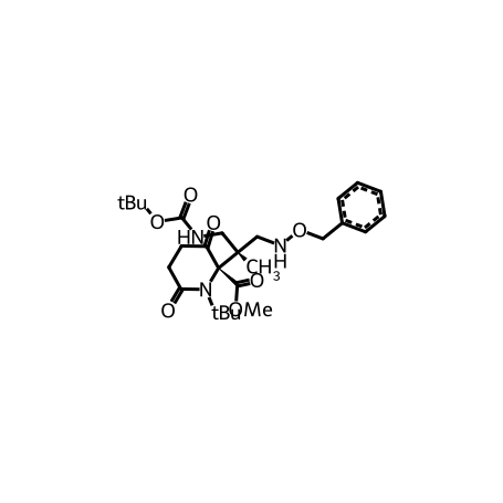 COC(=O)[C@]1([C@@](C)(CNOCc2ccccc2)CNC(=O)OC(C)(C)C)C(=O)CCC(=O)N1C(C)(C)C